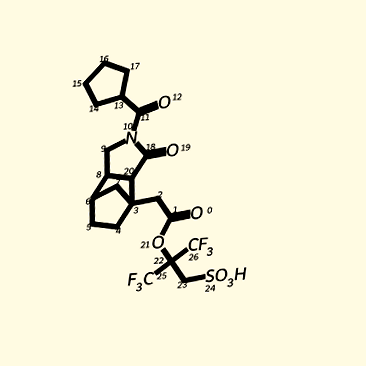 O=C(CC12CCC(C1)C1CN(C(=O)C3CCCC3)C(=O)C12)OC(CS(=O)(=O)O)(C(F)(F)F)C(F)(F)F